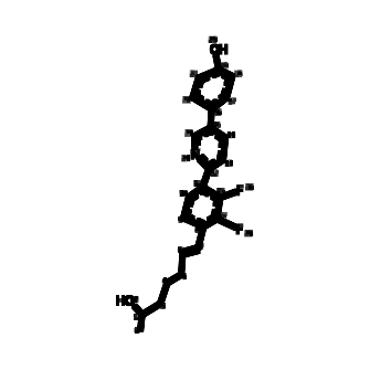 CC(O)CCCC=Cc1ccc(-c2ccc(-c3ccc(O)cc3)cn2)c(F)c1F